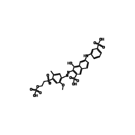 COc1cc(S(=O)(=O)CCOS(=O)(=O)O)c(C)cc1/N=N/c1c(S(=O)(=O)O)cc2ccc(Nc3cccc(S(=O)(=O)O)c3)cc2c1O